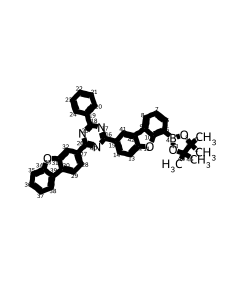 CC1(C)OB(c2cccc3c2oc2ccc(-c4nc(-c5ccccc5)nc(-c5ccc6c(c5)oc5ccccc56)n4)cc23)OC1(C)C